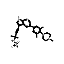 Cc1cc(-c2cnc3[nH]cc(C#CC(C)(C)NS(C)(=O)=O)c3c2)cc(C)c1N1CCN(C)CC1